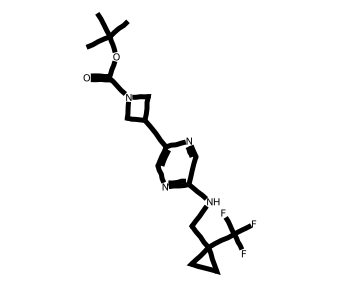 CC(C)(C)OC(=O)N1CC(c2cnc(NCC3(C(F)(F)F)CC3)cn2)C1